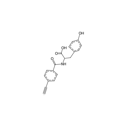 [C]#Cc1ccc(C(=O)NC(Cc2ccc(O)cc2)C(=O)O)cc1